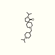 CC(C)N1CCC(CN2CCC3(CC2)CCN(C(C)C)C3=O)CC1